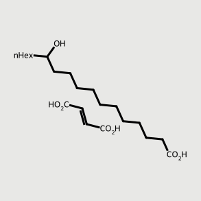 CCCCCCC(O)CCCCCCCCCCC(=O)O.O=C(O)C=CC(=O)O